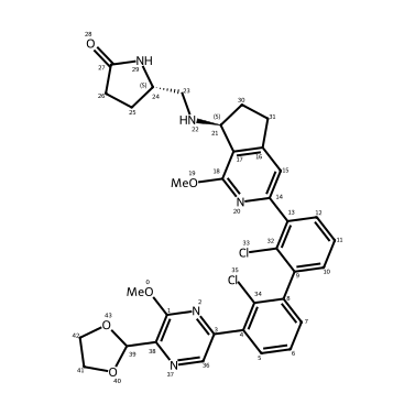 COc1nc(-c2cccc(-c3cccc(-c4cc5c(c(OC)n4)[C@@H](NC[C@@H]4CCC(=O)N4)CC5)c3Cl)c2Cl)cnc1C1OCCO1